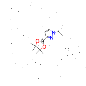 CCn1ccc(B2OC(C)(C)C(C)(C)O2)n1